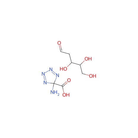 NC1(C(=O)O)N=NN=N1.O=CCC(O)C(O)CO